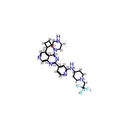 FC(F)(F)CN1CCC(Nc2cc(-c3nc(N4CCNCC4)c4c(C5CCC5)cncc4n3)ccn2)CC1